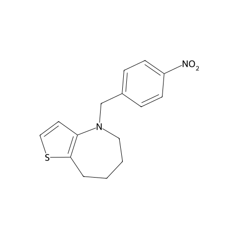 O=[N+]([O-])c1ccc(CN2CCCCc3sccc32)cc1